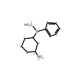 O=C(O)N(c1ccccc1)C1CCCC([N+](=O)[O-])C1